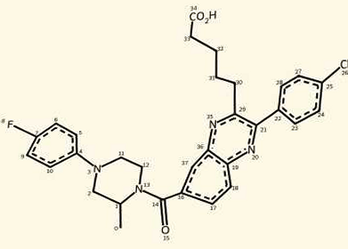 CC1CN(c2ccc(F)cc2)CCN1C(=O)c1ccc2nc(-c3ccc(Cl)cc3)c(CCCCC(=O)O)nc2c1